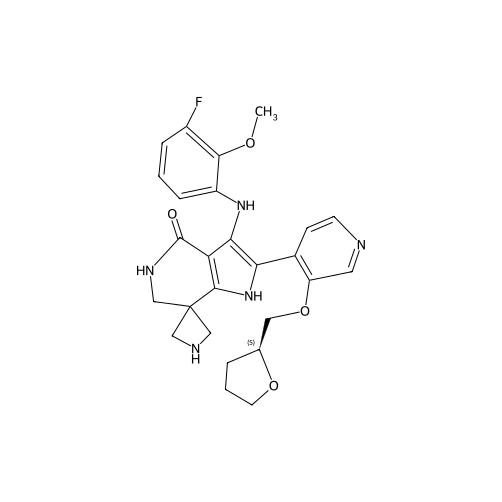 COc1c(F)cccc1Nc1c(-c2ccncc2OC[C@@H]2CCCO2)[nH]c2c1C(=O)NCC21CNC1